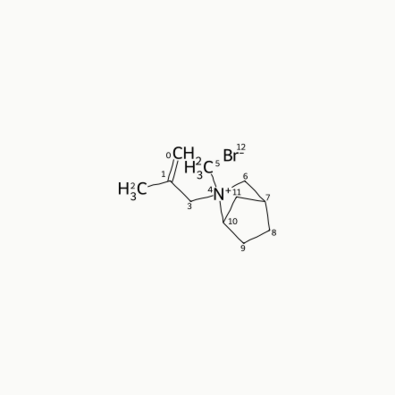 C=C(C)C[N+]1(C)CC2CCC1C2.[Br-]